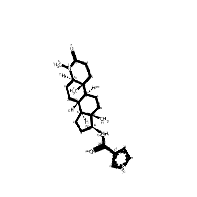 CN1C(=O)CC[C@]2(C)[C@H]3CC[C@]4(C)[C@@H](NC(=O)c5ccsc5)CC[C@H]4[C@@H]3CC[C@@H]12